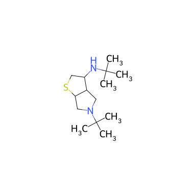 CC(C)(C)NC1CSC2CN(C(C)(C)C)CC12